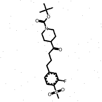 CC(C)(C)OC(=O)N1CCC(C(=O)CCCc2ccc(S(C)(=O)=O)c(F)c2)CC1